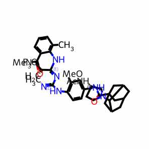 C=C(/C(=N\C(=N/C)Nc1ccc(NC(=O)C23CC4CC(C2)C(N2CC[C@H](NC(C)=O)C2)C(C4)C3)cc1OC)Nc1c(C)cccc1C(=O)NC)C(F)(F)F